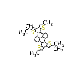 Cc1cc2c3cc(C(C)C)sc3c3c4cccc5c4c4c(cccc4c4c6sc(C(C)C)cc6c6cc(C)sc6c54)c3c2s1